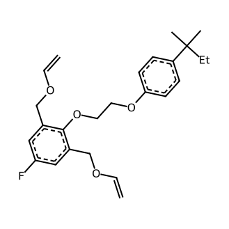 C=COCc1cc(F)cc(COC=C)c1OCCOc1ccc(C(C)(C)CC)cc1